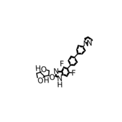 Fc1cc2[nH]c(OC3CO[C@@H]4CCO[C@H]34)nc2c(F)c1-c1ccc(-c2ccc(-n3cccn3)cc2)cc1